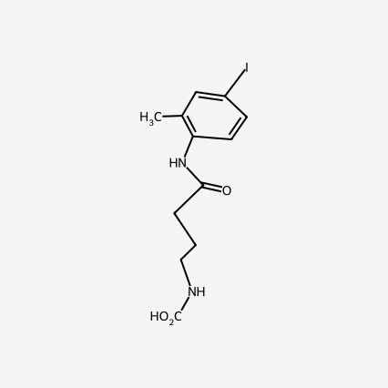 Cc1cc(I)ccc1NC(=O)CCCNC(=O)O